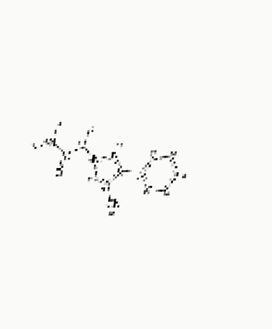 CC(C(=O)N(C)C)n1cc(C#N)c(-c2ccccc2)n1